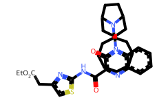 CCOC(=O)Cc1csc(NC(=O)c2nc3ccccc3n(C3CC4CCC(C3)N4C3CCCCCCC3)c2=O)n1